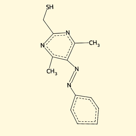 Cc1nc(CS)nc(C)c1/N=N/c1ccccc1